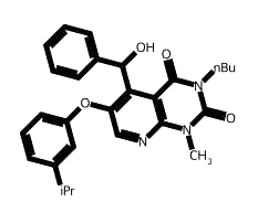 CCCCn1c(=O)c2c(C(O)c3ccccc3)c(Oc3cccc(C(C)C)c3)cnc2n(C)c1=O